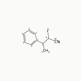 CC(c1ccccc1)C(F)C#N